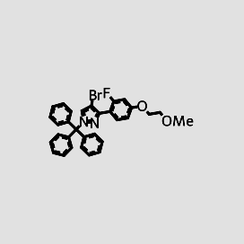 COCCOc1ccc(-c2nn(C(c3ccccc3)(c3ccccc3)c3ccccc3)cc2Br)c(F)c1